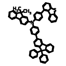 CC1(C)c2ccccc2-c2ccc(N(c3ccc(-c4ccc5c(c4)-c4ccccc4C5(c4ccccc4)c4ccccc4)cc3)c3ccc(-c4cccc5sc6ccccc6c45)cc3)cc21